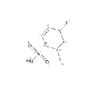 O=S(=O)(O)[C@@H]1C=CC(F)CC1F